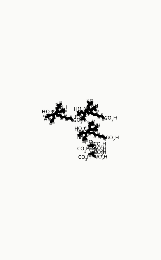 CC1(C)CC(C(CCCCCCCC(=O)O)(C(=O)O)C2CC(C)(C)NC(C)(C)C2)CC(C)(C)N1.CC1(C)CC(C(CCCCCCCC(=O)O)(C(=O)O)C2CC(C)(C)NC(C)(C)C2)CC(C)(C)N1.CC1(C)CC(C(CCCCCCCC(=O)O)(C(=O)O)C2CC(C)(C)NC(C)(C)C2)CC(C)(C)N1.O=C(O)CC(O)(CC(=O)O)C(=O)O.O=C(O)CC(O)(CC(=O)O)C(=O)O